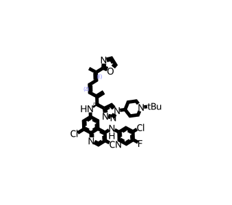 C=C(/C=C\C=C(/C)c1ncco1)[C@H](Nc1cc(Cl)c2ncc(C#N)c(Nc3ccc(F)c(Cl)c3)c2c1)c1cn(C2CCN(C(C)(C)C)CC2)nn1